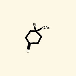 CCC1(OC(C)=O)CCC(=O)CC1